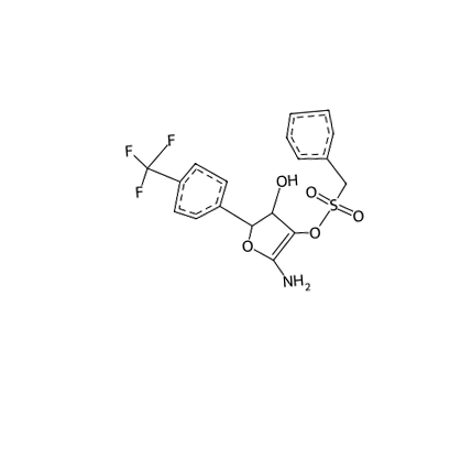 NC1=C(OS(=O)(=O)Cc2ccccc2)C(O)C(c2ccc(C(F)(F)F)cc2)O1